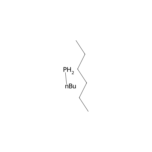 CCCCCC.CCCCP